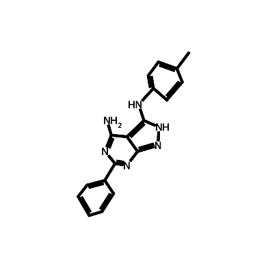 Cc1ccc(Nc2[nH]nc3nc(-c4ccccc4)nc(N)c23)cc1